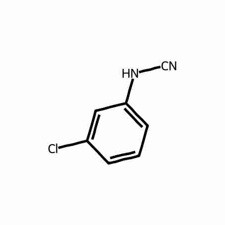 N#CNc1cccc(Cl)c1